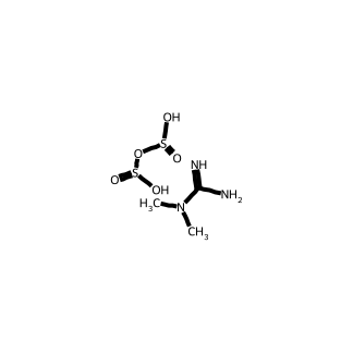 CN(C)C(=N)N.O=S(O)OS(=O)O